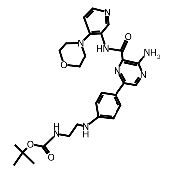 CC(C)(C)OC(=O)NCCNc1ccc(-c2cnc(N)c(C(=O)Nc3cnccc3N3CCOCC3)n2)cc1